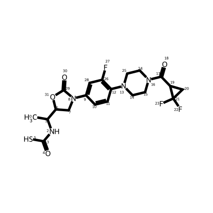 CC(NC(=O)S)C1CN(c2ccc(N3CCN(C(=O)C4CC4(F)F)CC3)c(F)c2)C(=O)O1